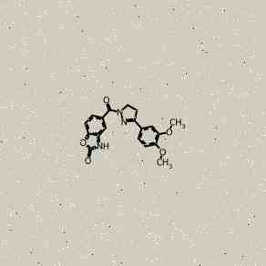 COc1ccc(C2=NN(C(=O)c3ccc4oc(=O)[nH]c4c3)CC2)cc1OC